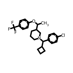 CC(Oc1ccc(C(F)(F)F)cc1)C1CCCN(C(c2ccc(Cl)cc2)C2CCC2)C1